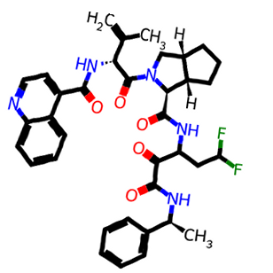 C=C(C)[C@@H](NC(=O)c1ccnc2ccccc12)C(=O)N1C[C@@H]2CCC[C@@H]2[C@H]1C(=O)NC(CC(F)F)C(=O)C(=O)N[C@@H](C)c1ccccc1